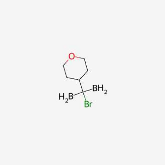 BC(B)(Br)C1CCOCC1